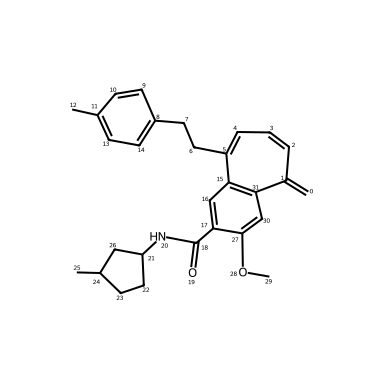 C=C1C=CC=C(CCc2ccc(C)cc2)c2cc(C(=O)NC3CCC(C)C3)c(OC)cc21